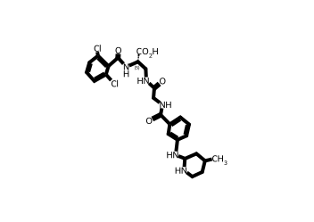 CC1CCNC(Nc2cccc(C(=O)NCC(=O)NC[C@H](NC(=O)c3c(Cl)cccc3Cl)C(=O)O)c2)C1